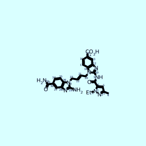 CCn1nc(C)cc1C(=O)Nc1nc2cc(C(=O)O)ccc2n1CC=CCn1c(N)nc2cc(C(N)=O)ccc21